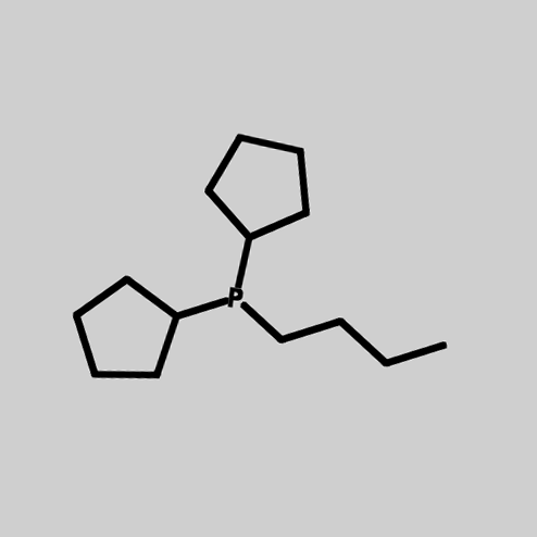 CCCCP(C1CCCC1)C1CCCC1